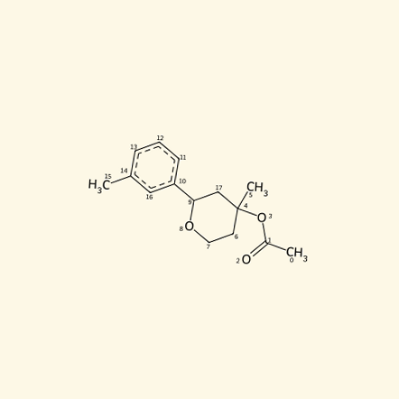 CC(=O)OC1(C)CCOC(c2cccc(C)c2)C1